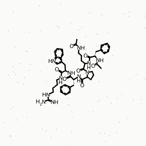 CC(=O)NCCCC(NC(=O)[C@H](Cc1ccccc1)NC(C)=O)C(=O)N1CCCC1C(=O)N[C@H](Cc1ccccc1)C(=O)NC(Cc1c[nH]c2ccccc12)C(=O)NCCCCNC(=N)N